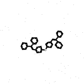 C(=C(c1ccccc1)c1ccccc1)c1ccc(Oc2ccc(C=C(c3ccccc3)c3ccccc3)cc2)cc1